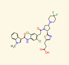 Cn1cc(C(=O)Nc2cc(Cl)c(CC(=O)N3C[C@@H](N4CCC(F)(F)CC4)C[C@H]3c3ncc(CCC(=O)O)s3)cc2Cl)c2ccccc21